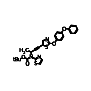 CC(C#Cc1cnc(Oc2ccc(Oc3ccccc3)cc2)s1)N(C(=O)OC(C)(C)C)c1nccs1